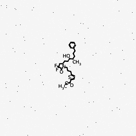 COC(=O)c1ccc(CCCN2C(=O)C(F)(F)CC2CC[C@@H](O)[C@@H](C)CCCc2ccccc2)s1